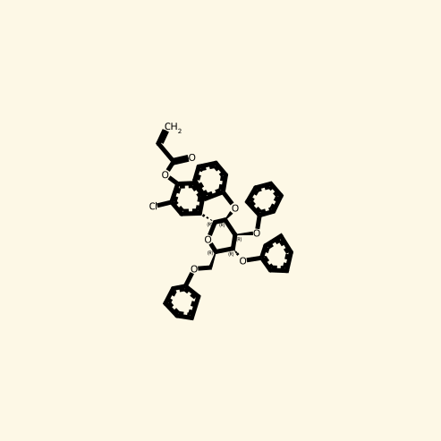 C=CC(=O)Oc1ccc([C@H]2O[C@H](COc3ccccc3)[C@@H](Oc3ccccc3)[C@H](Oc3ccccc3)[C@@H]2Oc2ccccc2)cc1Cl